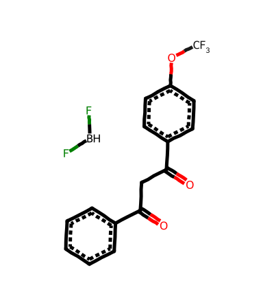 FBF.O=C(CC(=O)c1ccc(OC(F)(F)F)cc1)c1ccccc1